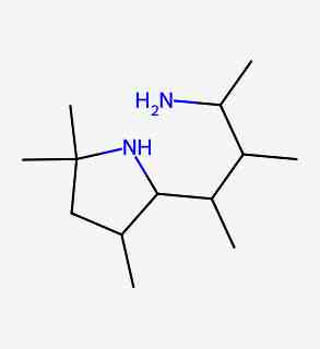 CC(N)C(C)C(C)C1NC(C)(C)CC1C